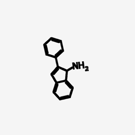 NC1C(c2ccccc2)=Cc2ccccc21